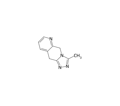 Cc1nnc2n1Cc1ncccc1C2